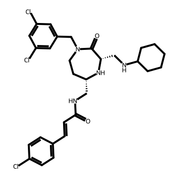 O=C(/C=C/c1ccc(Cl)cc1)NC[C@@H]1CCN(Cc2cc(Cl)cc(Cl)c2)C(=O)[C@H](CNC2CCCCC2)N1